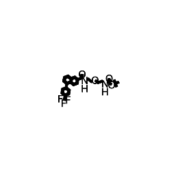 CC(C)(C)OC(=O)NCCOCCNC(=O)c1ccc2c(-c3ccc(C(F)(F)F)cc3)cccc2c1